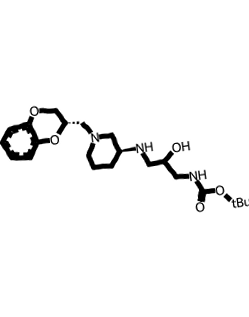 CC(C)(C)OC(=O)NCC(O)CN[C@H]1CCCN(C[C@H]2COc3ccccc3O2)C1